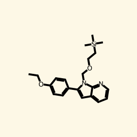 CCOc1ccc(-c2cc3cccnc3n2COCC[Si](C)(C)C)cc1